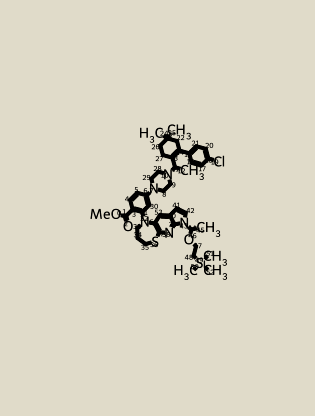 COC(=O)c1ccc(N2CCN(C(C)C3=C(c4ccc(Cl)cc4)CC(C)(C)CC3)CC2)cc1N1CCCSc2nc3c(ccn3C(C)OCC[Si](C)(C)C)cc21